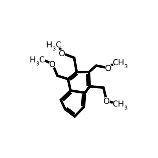 COCc1c(COC)c(COC)c2ccccc2c1COC